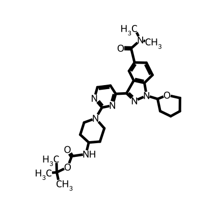 CN(C)C(=O)c1ccc2c(c1)c(-c1ccnc(N3CCC(NC(=O)OC(C)(C)C)CC3)n1)nn2C1CCCCO1